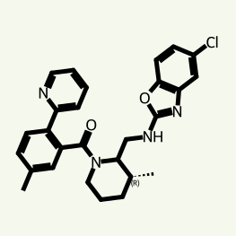 Cc1ccc(-c2ccccn2)c(C(=O)N2CCC[C@@H](C)C2CNc2nc3cc(Cl)ccc3o2)c1